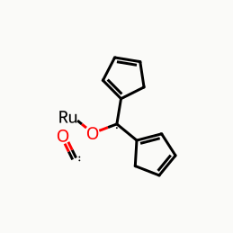 [C]=O.[Ru][O][C](C1=CC=CC1)C1=CC=CC1